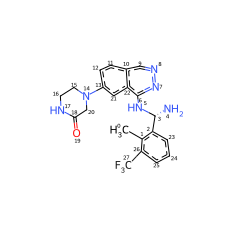 Cc1c([C@@H](N)Nc2nncc3ccc(N4CCNC(=O)C4)cc23)cccc1C(F)(F)F